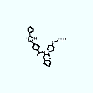 CCOC(=O)COC1CCN(C(=O)C(Cc2ccccc2)NC(=O)c2ccc(C3=NOC(c4ccccc4)N3)cc2)CC1